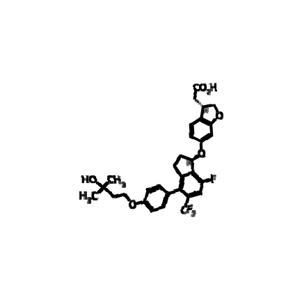 CC(C)(O)CCOc1ccc(-c2c(C(F)(F)F)cc(F)c3c2CC[C@H]3Oc2ccc3c(c2)OC[C@H]3CC(=O)O)cc1